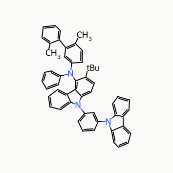 Cc1ccccc1-c1cc(N(c2ccccc2)c2c(C(C)(C)C)ccc3c2c2ccccc2n3-c2cccc(-n3c4ccccc4c4ccccc43)c2)ccc1C